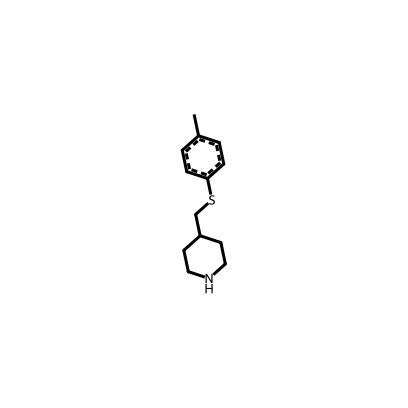 Cc1ccc(SCC2CCNCC2)cc1